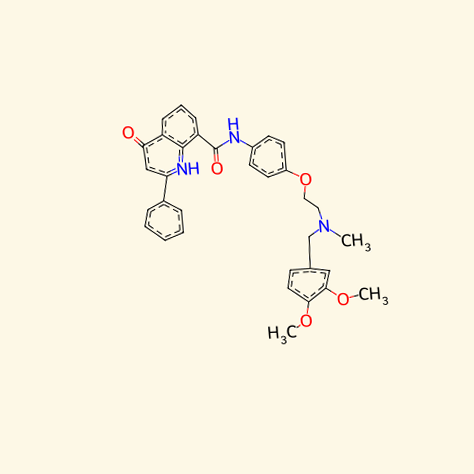 COc1ccc(CN(C)CCOc2ccc(NC(=O)c3cccc4c(=O)cc(-c5ccccc5)[nH]c34)cc2)cc1OC